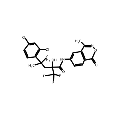 Cc1noc(=O)c2ccc(NC(=O)C(O)(CC(C)(C)c3ccc(Cl)cc3Cl)C(F)(F)F)cc12